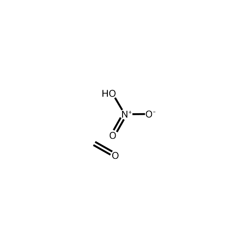 C=O.O=[N+]([O-])O